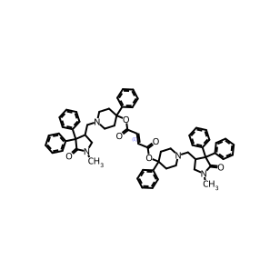 CN1CC(CN2CCC(OC(=O)/C=C/C(=O)OC3(c4ccccc4)CCN(CC4CN(C)C(=O)C4(c4ccccc4)c4ccccc4)CC3)(c3ccccc3)CC2)C(c2ccccc2)(c2ccccc2)C1=O